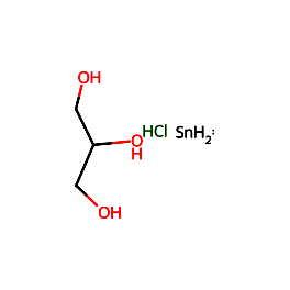 Cl.OCC(O)CO.[SnH2]